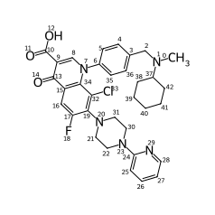 CN(Cc1ccc(-n2cc(C(=O)O)c(=O)c3cc(F)c(N4CCN(c5ccccn5)CC4)c(Cl)c32)cc1)C1CCCCC1